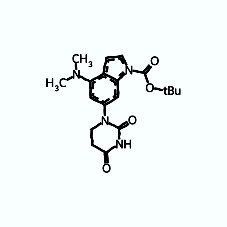 CN(C)c1cc(N2CCC(=O)NC2=O)cc2c1ccn2C(=O)OC(C)(C)C